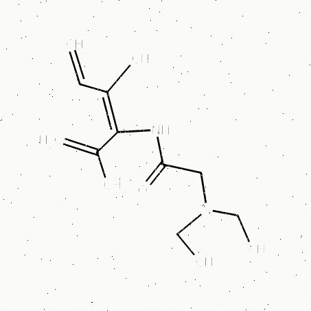 C=C/C(C)=C(/NC(=O)CN(CC)CC)C(=C)C